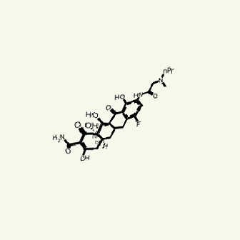 CCCN(C)CC(=O)Nc1cc(F)c2c(c1O)C(=O)C1=C(O)[C@]3(O)C(=O)C(C(N)=O)=C(O)C[C@@H]3CC1C2